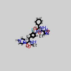 CCC(=O)N[C@@H](C(=O)N1CCN(C)CC1)[C@@H](C)c1ccc(NC(=O)[C@@H](NC(=O)c2nonc2CC)C2CCCCCC2)c(F)c1